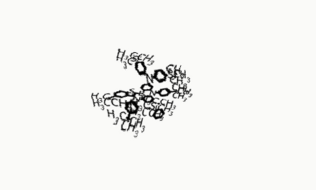 CC(C)(C)c1ccc(N2c3cc(N(c4ccc([Si](C)(C)C)cc4)c4ccc([Si](C)(C)C)cc4)ccc3B3c4sc5ccc(C(C)(C)C)cc5c4N(c4ccc(C(C)(C)C)cc4)c4cc([Si](c5ccccc5)(C(C)(C)C)C(C)(C)C)cc2c43)cc1